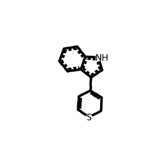 C1=CC(c2c[nH]c3ccccc23)=CCS1